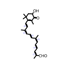 CC1=C(/C=C/C(C)=C\C=C\C(C)=C/C=C/C=C(/C)C=O)C(C)(C)CC(O)C1=O